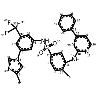 Cc1cn(-c2cc(NS(=O)(=O)c3ccc(C)c(Nc4nccc(-c5ccccc5)n4)c3)cc(C(F)(F)F)c2)cn1